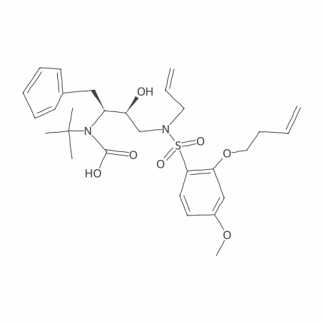 C=CCCOc1cc(OC)ccc1S(=O)(=O)N(CC=C)C[C@H](O)[C@H](Cc1ccccc1)N(C(=O)O)C(C)(C)C